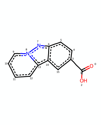 O=C(O)c1ccc2nn3ccccc3c2c1